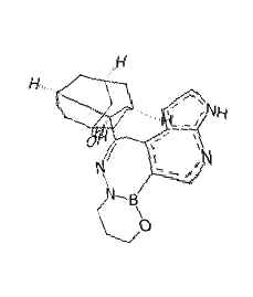 OC12C[C@H]3C[C@H](C1)[C@H](C1=NN4CCCOB4c4cnc5[nH]ccc5c41)[C@@H](C3)C2